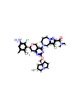 Cc1cc(N)c(F)c([C@@H]2Cc3nc(OC[C@@]45CCCN4C[C@H](F)C5)nc(N4CCCn5nc(C(=O)N(C)C)c(Cl)c5C4)c3CO2)c1C(F)(F)F